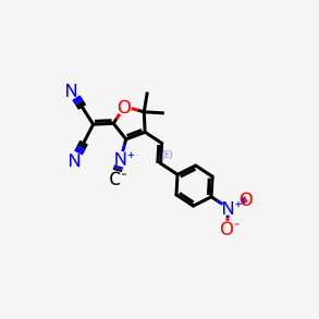 [C-]#[N+]C1=C(/C=C/c2ccc([N+](=O)[O-])cc2)C(C)(C)OC1=C(C#N)C#N